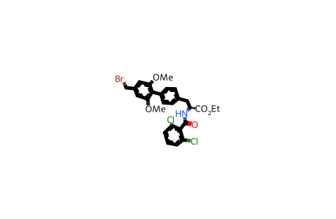 CCOC(=O)[C@H](Cc1ccc(-c2c(OC)cc(CBr)cc2OC)cc1)NC(=O)c1c(Cl)cccc1Cl